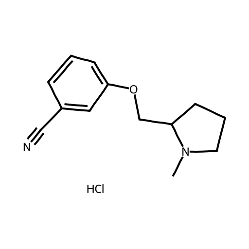 CN1CCCC1COc1cccc(C#N)c1.Cl